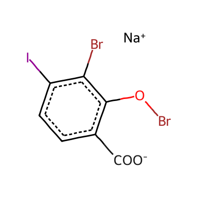 O=C([O-])c1ccc(I)c(Br)c1OBr.[Na+]